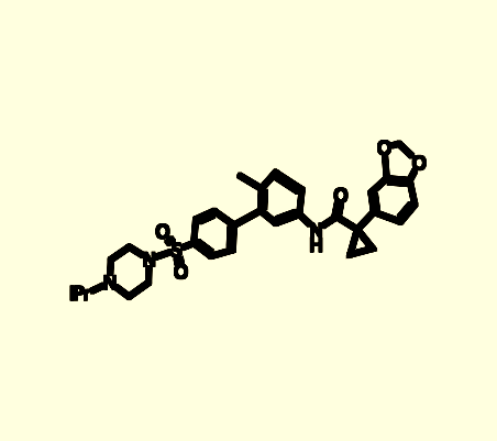 Cc1ccc(NC(=O)C2(c3ccc4c(c3)OCO4)CC2)cc1-c1ccc(S(=O)(=O)N2CCN(C(C)C)CC2)cc1